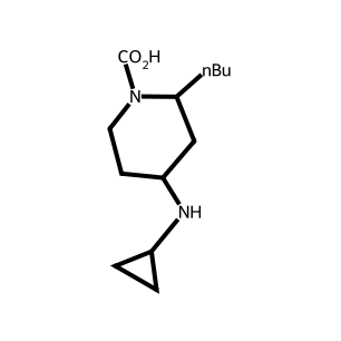 CCCCC1CC(NC2CC2)CCN1C(=O)O